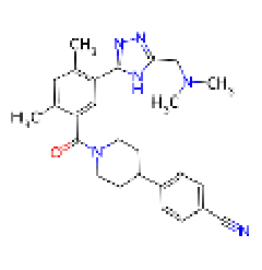 Cc1cc(C)c(-c2nnc(CN(C)C)[nH]2)cc1C(=O)N1CCC(c2ccc(C#N)cc2)CC1